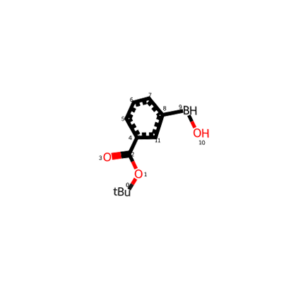 CC(C)(C)OC(=O)c1cccc(BO)c1